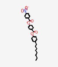 CCCCCCCCc1ccc(OC(=O)c2ccc(OC(=O)c3ccc([N+](=O)[O-])cc3)cc2)cc1